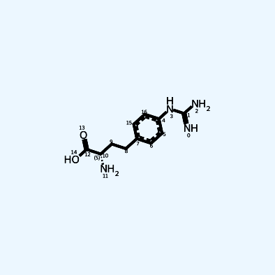 N=C(N)Nc1ccc(CC[C@H](N)C(=O)O)cc1